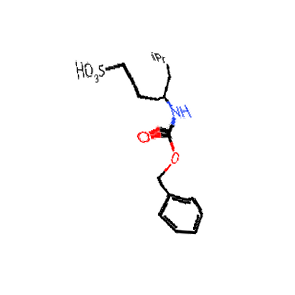 CC(C)CC(CCS(=O)(=O)O)NC(=O)OCc1ccccc1